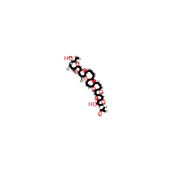 C=C(C=O)C[C@@H]1C[C@H](O)C2OC3C[C@]4(C)OC5/C=C\CC6OC7C(C/C=C\CC6OC5CCCC4OC3CC2O1)OC1CC2OC(CC)C(O)C[C@@H](C)C[C@@]2(C)OC1C[C@@H]7C